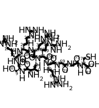 CC(C)[C@H](N)C(=O)N[C@@H](CO)C(=O)N[C@@H](CCCNC(=N)N)C(=O)N[C@@H](CCCNC(=N)N)C(=O)N[C@@H](CCCNC(=N)N)C(=O)N[C@@H](CCCNC(=N)N)C(=O)N[C@@H](CCCNC(=N)N)C(=O)NCC(=O)NCC(=O)N[C@@H](CS)C(=O)O